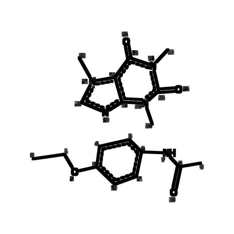 CCOc1ccc(NC(C)=O)cc1.Cn1c(=O)c2c(ncn2C)n(C)c1=O